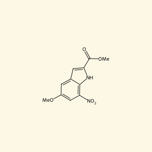 COC(=O)c1cc2cc(OC)cc([N+](=O)[O-])c2[nH]1